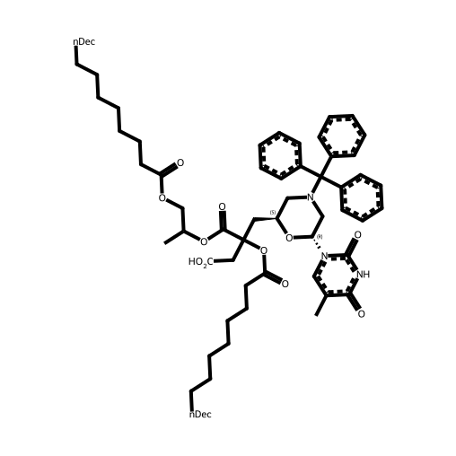 CCCCCCCCCCCCCCCCCC(=O)OCC(C)OC(=O)C(CC(=O)O)(C[C@H]1CN(C(c2ccccc2)(c2ccccc2)c2ccccc2)C[C@H](n2cc(C)c(=O)[nH]c2=O)O1)OC(=O)CCCCCCCCCCCCCCCCC